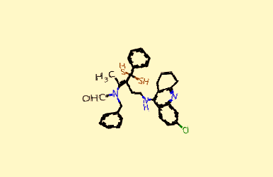 CC(=C(CCNc1c2c(nc3cc(Cl)ccc13)CCCC2)C(S)(S)c1ccccc1)N(C=O)Cc1ccccc1